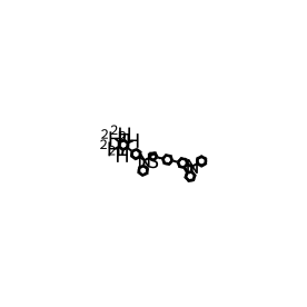 [2H]c1c([2H])c([2H])c(-c2ccc(N(c3ccccc3)c3ccc(-c4ccc(-c5ccc6c(c5)c5ccccc5n6-c5ccccc5)cc4)s3)cc2)c([2H])c1[2H]